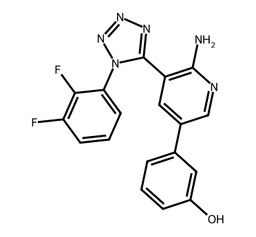 Nc1ncc(-c2cccc(O)c2)cc1-c1nnnn1-c1cccc(F)c1F